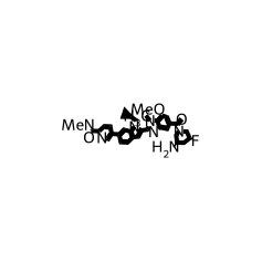 CNC(=O)c1ccc(-c2ccc3cc(-c4nc5cc(C(=O)N6C[C@H](N)C[C@@H](F)C6)cc(OC)c5n4C)n(CC4CC4)c3c2)cn1